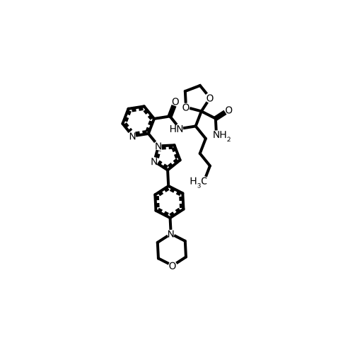 CCCCC(NC(=O)c1cccnc1-n1ccc(-c2ccc(N3CCOCC3)cc2)n1)C1(C(N)=O)OCCO1